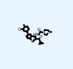 Cc1ccc(-c2ccc3ncc(C(=O)C4CC4)c(NCC(=O)N4CCN(C)CC4)c3c2)cc1Cl